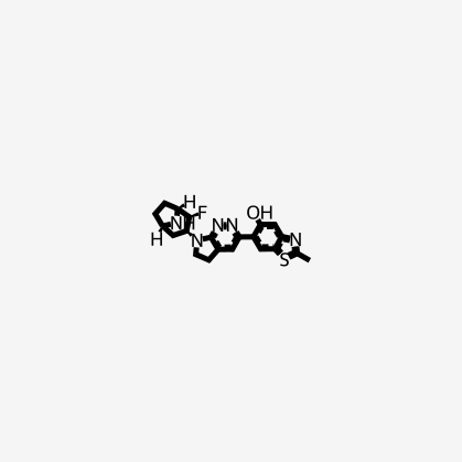 Cc1nc2cc(O)c(-c3cc4c(nn3)N([C@H]3C[C@@H]5CC[C@@H](N5)[C@H]3F)CC4)cc2s1